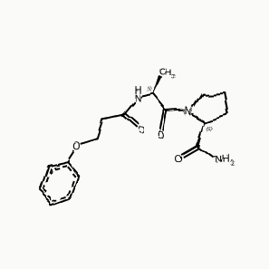 C[C@H](NC(=O)CCOc1ccccc1)C(=O)N1CCC[C@H]1C(N)=O